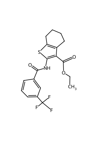 CCOC(=O)c1c(NC(=O)c2cccc(C(F)(F)F)c2)sc2c1CCCC2